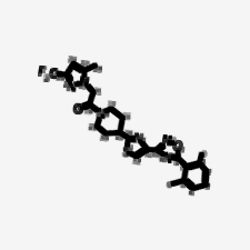 Cc1cccc(C)c1-c1nc(-c2csc(C3CCN(C(=O)Cn4nc(C(F)(F)F)cc4C)CC3)n2)no1